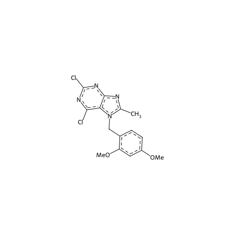 COc1ccc(Cn2c(C)nc3nc(Cl)nc(Cl)c32)c(OC)c1